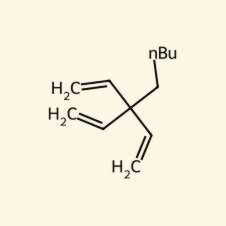 C=CC(C=C)(C=C)CCCCC